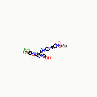 CC(C)(C)OC(=O)N1CCC2(CC1)CC(N1CCC(n3cc(-c4cc(C(=O)Nc5ccc(OC(F)(F)Cl)cc5)cnc4N4CC[C@@H](O)C4)cn3)CC1)C2